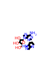 Nc1ncnc2c1ncn2[C@@H]1O[C@H](CO)[C@@H](O)[C@H]1O.c1cnc2cn[nH]c2c1